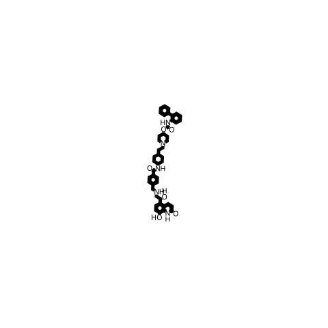 O=C(Nc1ccccc1-c1ccccc1)OC1CCN(CCC2CCC(NC(=O)c3ccc(CNCC(O)c4ccc(O)c5[nH]c(=O)ccc45)cc3)CC2)CC1